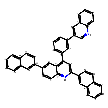 c1cc(-c2cnc3ccccc3c2)cc(-c2cc(-c3ccc4ccccc4c3)nc3ccc(-c4ccc5ccccc5c4)cc23)c1